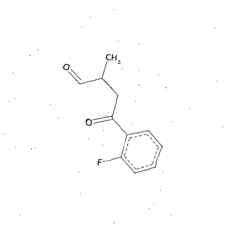 CC(C=O)CC(=O)c1ccccc1F